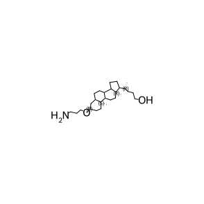 C[C@H](CCCO)C1CCC2C3CCC4C[C@H](OCCCN)CC[C@]4(C)C3CC[C@@]21C